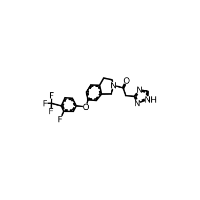 O=C(Cc1nc[nH]n1)N1CCc2ccc(Oc3ccc(C(F)(F)F)c(F)c3)cc2C1